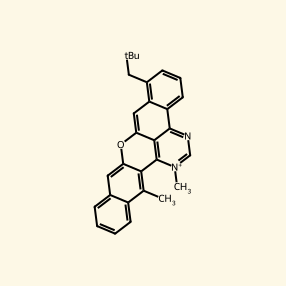 Cc1c2c(cc3ccccc13)Oc1cc3c(CC(C)(C)C)cccc3c3nc[n+](C)c-2c13